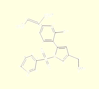 CNCc1cc(-c2cccnc2F)n(S(=O)(=O)c2cccnc2)c1.O=C(O)C=CC(=O)O